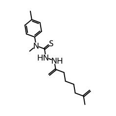 C=C(C)CCCCC(=C)NNC(=S)N(C)c1ccc(C)cc1